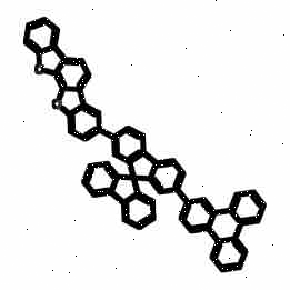 c1ccc2c(c1)-c1ccccc1C21c2cc(-c3ccc4oc5c(ccc6c7ccccc7oc65)c4c3)ccc2-c2ccc(-c3ccc4c5ccccc5c5ccccc5c4c3)cc21